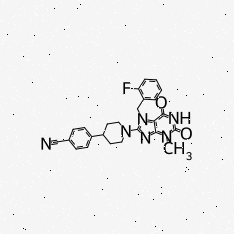 Cn1c(=O)[nH]c(=O)c2c1nc(N1CCC(c3ccc(C#N)cc3)CC1)n2Cc1ccccc1F